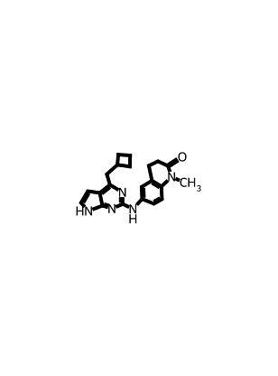 CN1C(=O)CCc2cc(Nc3nc(CC4CCC4)c4cc[nH]c4n3)ccc21